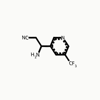 N#CCC(N)c1cncc(C(F)(F)F)c1